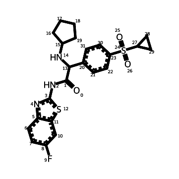 O=C(Nc1nc2ccc(F)cc2s1)C(NC1CCCC1)c1ccc(S(=O)(=O)C2CC2)cc1